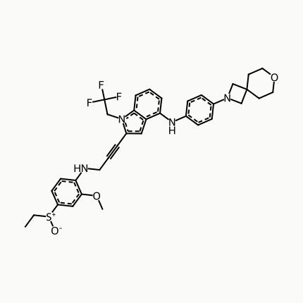 CC[S+]([O-])c1ccc(NCC#Cc2cc3c(Nc4ccc(N5CC6(CCOCC6)C5)cc4)cccc3n2CC(F)(F)F)c(OC)c1